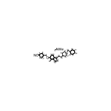 CNC.Cc1c(OCc2ccc(C#N)nc2)ccc2c(CCC3CCN(Cc4ccccc4)CC3)noc12